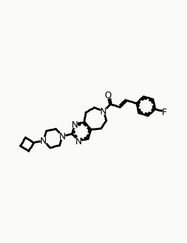 O=C(C=Cc1ccc(F)cc1)N1CCc2cnc(N3CCN(C4CCC4)CC3)nc2CC1